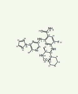 Cc1ncc(Nc2nc(N[C@@H](C3CCCCC3)[C@H](C)NC(=O)O)c(F)cc2C(N)=O)cc1-n1nccn1